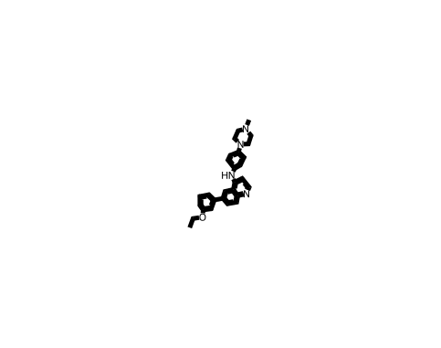 CCOc1cccc(-c2ccc3nccc(Nc4ccc(N5CCN(C)CC5)cc4)c3c2)c1